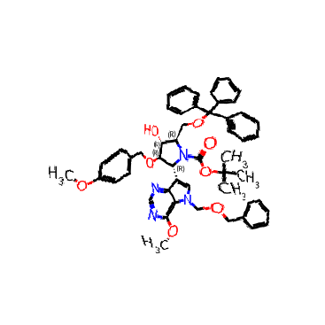 COc1ccc(CO[C@H]2[C@H](O)[C@@H](COC(c3ccccc3)(c3ccccc3)c3ccccc3)N(C(=O)OC(C)(C)C)[C@@H]2c2cn(COCc3ccccc3)c3c(OC)ncnc23)cc1